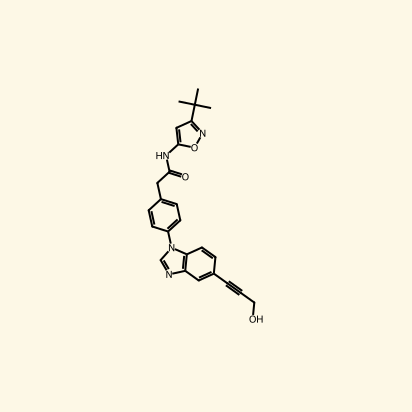 CC(C)(C)c1cc(NC(=O)Cc2ccc(-n3cnc4cc(C#CCO)ccc43)cc2)on1